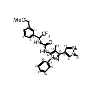 COCc1cccc(C(NC(=O)Nc2c(C)c(-c3cnn(C)c3)nn2-c2ccccc2)C(F)(F)F)c1